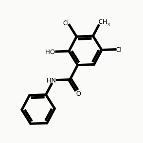 Cc1c(Cl)cc(C(=O)Nc2ccccc2)c(O)c1Cl